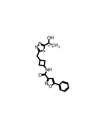 C[C@H](O)c1nnc(CC2CC(NC(=O)c3cc(-c4ccccc4)on3)C2)s1